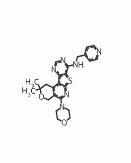 CC1(C)Cc2c(c(N3CCOCC3)nc3sc4c(NCc5ccncc5)ncnc4c23)CO1